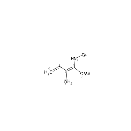 C=C/C(N)=C(\NCl)OC